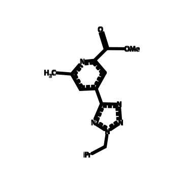 COC(=O)c1cc(-c2nnn(CC(C)C)n2)cc(C)n1